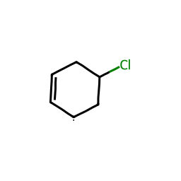 ClC1C[CH]C=CC1